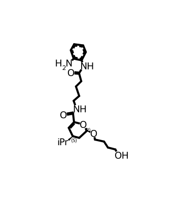 CC(C)[C@H]1C=C(C(=O)NCCCCC(=O)Nc2ccccc2N)O[C@@H](OCCCCO)C1